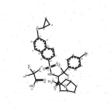 NC1CC2CCC(C1)N2C(=O)C(NS(=O)(=O)c1ccc2cc(OC3CC3)ccc2c1)C(F)(F)c1ccc(Br)cc1.O=C(O)C(F)(F)F